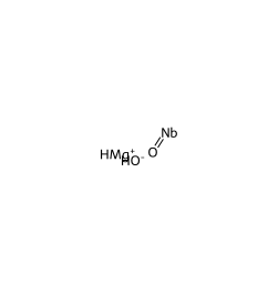 [MgH+].[OH-].[O]=[Nb]